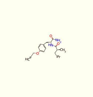 C#CCOc1ccc(C[C@H](NC(=O)[C@@H](C)CC(C)C)C(N)=O)cc1